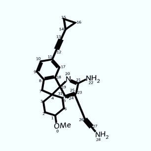 COC1CCC2(CC1)Cc1ccc(C#CC3CC3)cc1C21N=C(N)c2cc(C#CN)ccc21